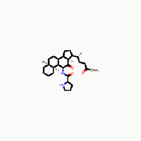 COC(=O)CC[C@@H](C)C1CCC2C3[CH]C[C@@H]4C[CH]CC[C@]4(C)C3[C@H](NC(=O)C3CCCN3)C(=O)[C@@]21C